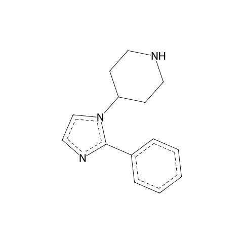 c1ccc(-c2nccn2C2CCNCC2)cc1